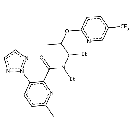 CCC(C(C)Oc1ccc(C(F)(F)F)cn1)N(CC)C(=O)c1nc(C)ccc1-n1nccn1